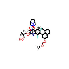 C#Cc1cccc2cc(OCOC)cc(-c3c(F)cc4c(N5CC6CCC(C5)N6C(=O)OC(C)(C)C)nc(OCC5(CO)CC5)nc4c3F)c12